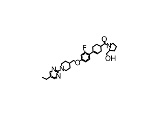 CCc1cnc(N2CCC(COc3ccc(C4=CCC(C(=O)N5CCCC5CO)CC4)c(F)c3)CC2)nc1